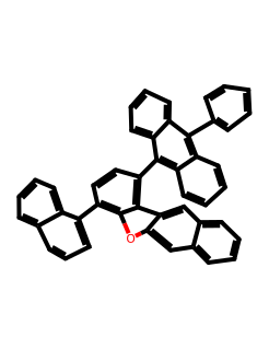 c1ccc(-c2c3ccccc3c(-c3ccc(-c4cccc5ccccc45)c4oc5cc6ccccc6cc5c34)c3ccccc23)cc1